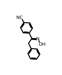 N#Cc1ccc(C(Cc2ccccc2)=NO)cc1